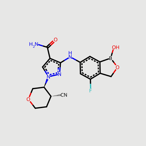 N#C[C@@H]1CCOC[C@H]1n1cc(C(N)=O)c(Nc2cc(F)c3c(c2)B(O)OC3)n1